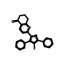 O=C1CCCc2nc(-c3nc(-c4ccccc4)c(F)n3-c3ccccc3)ccc21